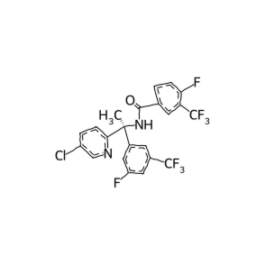 C[C@](NC(=O)c1ccc(F)c(C(F)(F)F)c1)(c1cc(F)cc(C(F)(F)F)c1)c1ccc(Cl)cn1